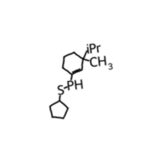 CC(C)C1(C)C=C(PSC2CCCC2)CCC1